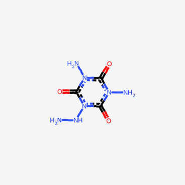 NNn1c(=O)n(N)c(=O)n(N)c1=O